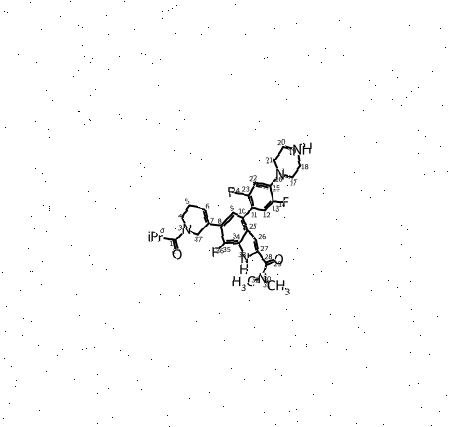 CC(C)C(=O)N1CCC=C(c2cc(-c3cc(F)c(N4CCNCC4)cc3F)c3cc(C(=O)N(C)C)[nH]c3c2F)C1